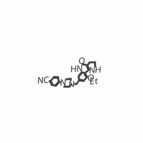 CCOc1cc(CN2CCN(c3ccc(C#N)cc3)CC2)cc2[nH]c(=O)c3c(c12)NCCC3